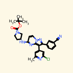 Cc1cc(-c2c(-c3cccc(C#N)c3)nn3ccc(N[C@@H]4CCN(C(=O)OC(C)(C)C)C4)nc23)cc(Cl)n1